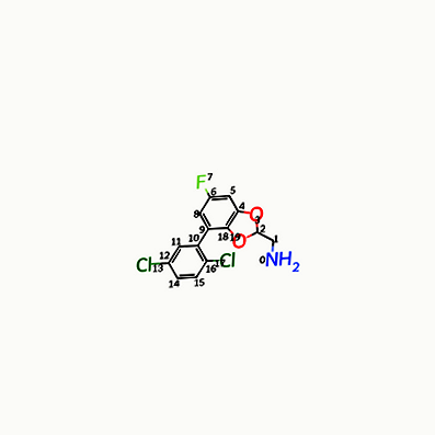 NCC1Oc2cc(F)cc(-c3cc(Cl)ccc3Cl)c2O1